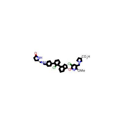 COc1nc(O[C@H]2CCc3c(-c4cccc(-c5ccc(CNC[C@@H]6CCC(=O)N6)cc5)c4Cl)cccc32)c(Cl)cc1CN1CC[C@@H](C(=O)O)C1